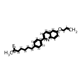 C=CCOc1ccc2nc(-c3ccc(CCCCCC(C)F)cc3)ccc2c1